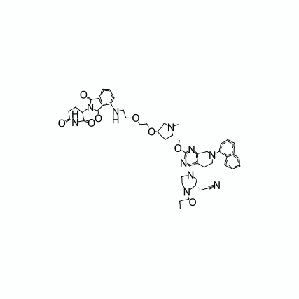 C=CC(=O)N1CCN(c2nc(OC[C@@H]3C[C@@H](OCCOCCNc4cccc5c4C(=O)N(C4CCC(=O)NC4=O)C5=O)CN3C)nc3c2CCN(c2cccc4ccccc24)C3)C[C@@H]1CC#N